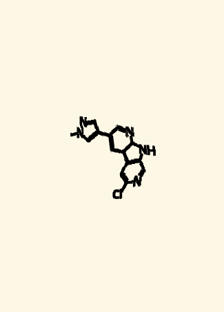 Cn1cc(C2=CC3c4cc(Cl)ncc4NC3N=C2)cn1